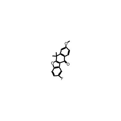 COc1ccc2c(c1)C(C)(C)c1oc3ccc(F)cc3c1C2=O